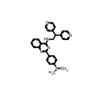 CN(C)c1ccc(-c2nc(NCC(c3ccncc3)c3ccncc3)c3ccccc3n2)cc1